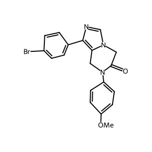 COc1ccc(N2Cc3c(-c4ccc(Br)cc4)ncn3CC2=O)cc1